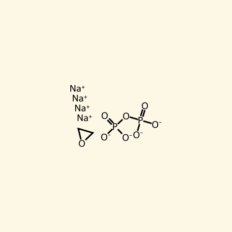 C1CO1.O=P([O-])([O-])OP(=O)([O-])[O-].[Na+].[Na+].[Na+].[Na+]